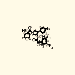 CN(C(=O)N(C)[C@@H]1CN(C(=O)C2(C#N)CCOCC2)C[C@H]1c1ccc(F)cc1)c1cc(C(F)(F)F)cc(C(F)(F)F)c1